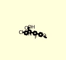 CCOc1ccc(-c2ccc(-c3cc(C(=O)O)c4cc(Cl)ccc4n3)cc2F)cc1